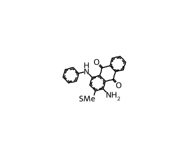 CSc1cc(Nc2ccccc2)c2c(c1N)C(=O)c1ccccc1C2=O